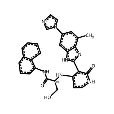 Cc1cc(-n2ccnc2)cc2[nH]c(-c3c(N[C@@H](CO)C(=O)Nc4cccc5ccccc45)cc[nH]c3=O)nc12